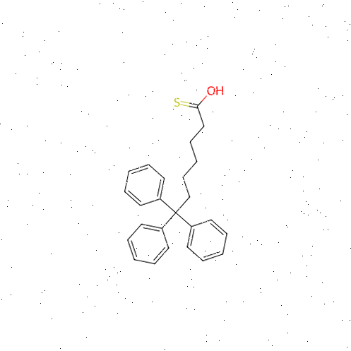 OC(=S)CCCCCC(c1ccccc1)(c1ccccc1)c1ccccc1